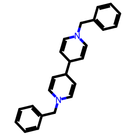 C1=CN(Cc2ccccc2)C=CC1C1C=CN(Cc2ccccc2)C=C1